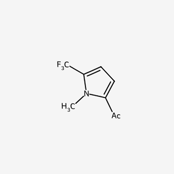 CC(=O)c1ccc(C(F)(F)F)n1C